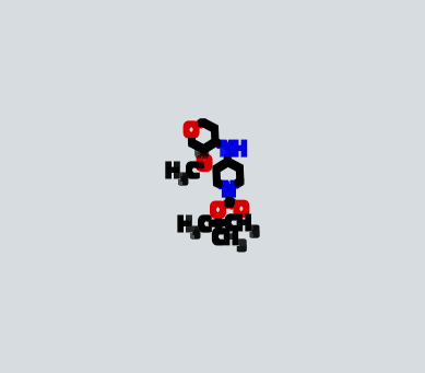 CO[C@H]1COCCC1NC1CCN(C(=O)OC(C)(C)C)CC1